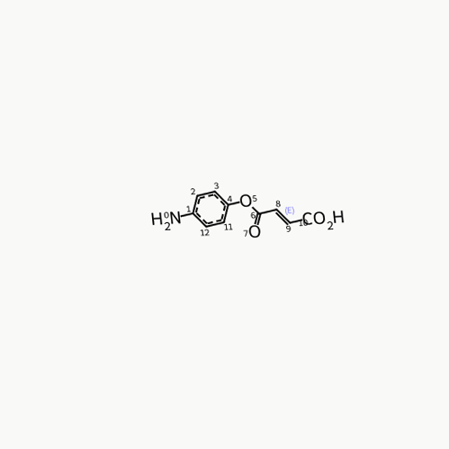 Nc1ccc(OC(=O)/C=C/C(=O)O)cc1